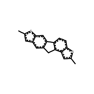 Cc1cc2cc3c(cc2s1)-c1ccc2sc(C)cc2c1C3